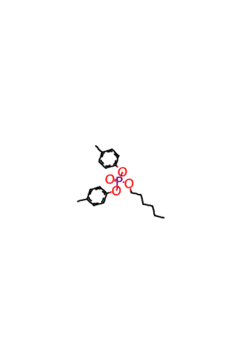 CCCCCCOP(=O)(Oc1ccc(C)cc1)Oc1ccc(C)cc1